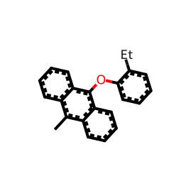 CCc1ccccc1Oc1c2ccccc2c(C)c2ccccc12